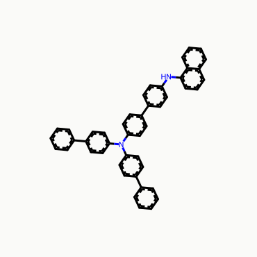 c1ccc(-c2ccc(N(c3ccc(-c4ccccc4)cc3)c3ccc(-c4ccc(Nc5cccc6ccccc56)cc4)cc3)cc2)cc1